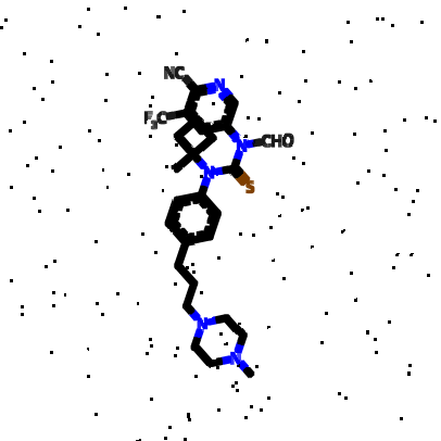 CN1CCN(CCCc2ccc(N(C(=S)N(C=O)c3cnc(C#N)c(C(F)(F)F)c3)C3(C)CCC3)cc2)CC1